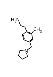 Cc1cc(CN2CCCC2)ccc1CCN